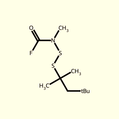 CN(SSC(C)(C)CC(C)(C)C)C(=O)F